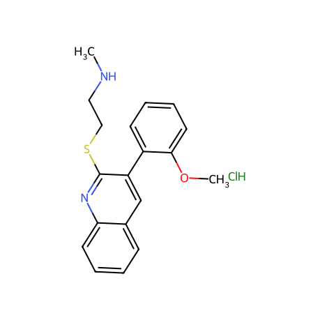 CNCCSc1nc2ccccc2cc1-c1ccccc1OC.Cl